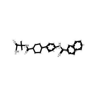 CC(C)(NC(=O)C1CCC(c2ccc(NC(=O)c3ccc4ccccc4c3)cc2)CC1)C(=O)O